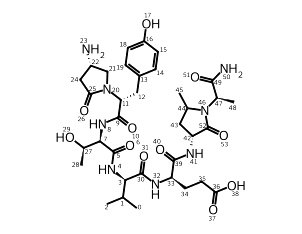 CC(C)[C@@H](NC(=O)[C@H](NC(=O)[C@@H](Cc1ccc(O)cc1)N1C[C@@H](N)CC1=O)[C@@H](C)O)C(=O)N[C@H](CCC(=O)O)C(=O)N[C@@H]1CC(C)N([C@H](C)C(N)=O)C1=O